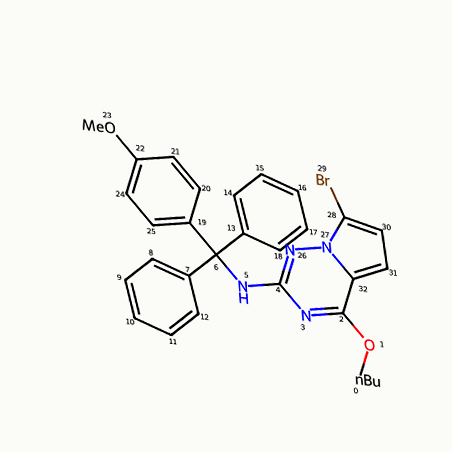 CCCCOc1nc(NC(c2ccccc2)(c2ccccc2)c2ccc(OC)cc2)nn2c(Br)ccc12